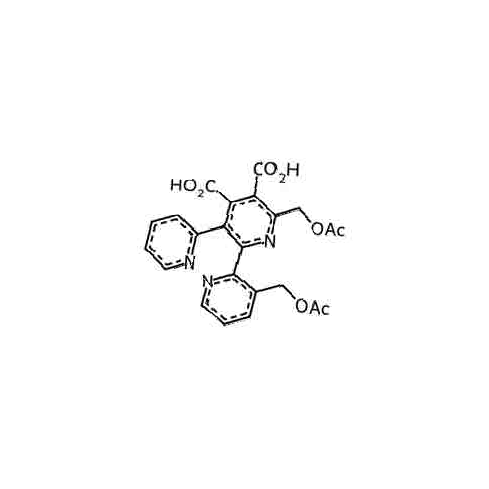 CC(=O)OCc1cccnc1-c1nc(COC(C)=O)c(C(=O)O)c(C(=O)O)c1-c1ccccn1